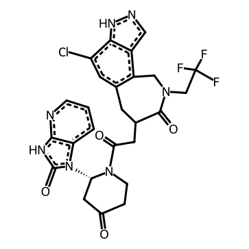 O=C1CCN(C(=O)CC2Cc3cc(Cl)c4[nH]ncc4c3CN(CC(F)(F)F)C2=O)[C@@H](n2c(=O)[nH]c3ncccc32)C1